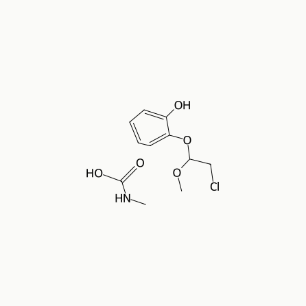 CNC(=O)O.COC(CCl)Oc1ccccc1O